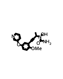 COc1ccc(Oc2cccnc2)cc1C#CC(C)N(O)C(N)=O